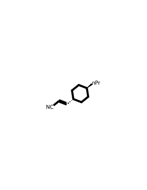 CCC[C@H]1CC[C@H](C=CC#N)CC1